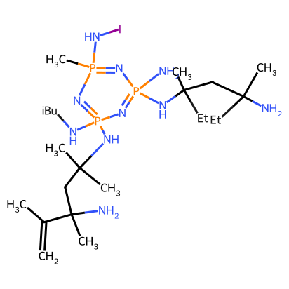 C=C(C)C(C)(N)CC(C)(C)NP1(NC(C)CC)=NP(C)(NI)=NP(N)(NC(C)(CC)CC(C)(N)CC)=N1